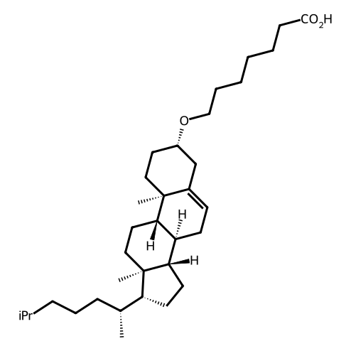 CC(C)CCC[C@@H](C)[C@H]1CC[C@H]2[C@@H]3CC=C4C[C@@H](OCCCCCCC(=O)O)CC[C@]4(C)[C@H]3CC[C@]12C